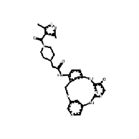 Cc1noc(C)c1C(=O)N1CCC(CC(=O)Nc2ccc3cc2CCc2cncc(c2)Nc2ncc(Cl)c(n2)N3)CC1